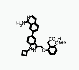 COc1cccc(OCc2nn(C3CCC3)c3ccc(-c4ccc5ccnc(N)c5c4)cc23)c1CC(=O)O